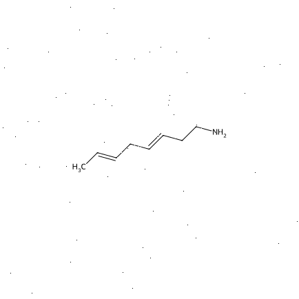 CC=CCC=CCCN